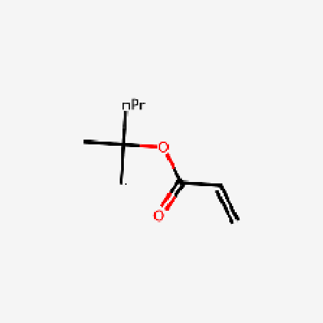 [CH2]C(C)(CCC)OC(=O)C=C